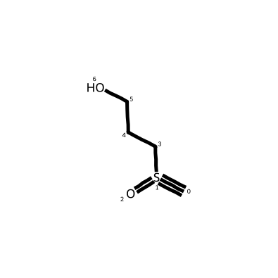 C#S(=O)CCCO